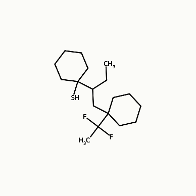 CCC(CC1(C(C)(F)F)CCCCC1)C1(S)CCCCC1